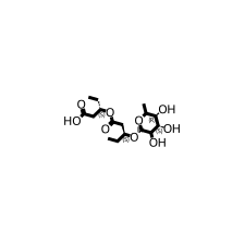 CC[C@@H](CC(=O)O)OC(=O)C[C@H](CC)O[C@@H]1OC(C)[C@H](O)[C@H](O)C1O